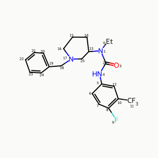 CCN(C(=O)Nc1ccc(F)c(C(F)(F)F)c1)C1CCCN(Cc2ccccc2)C1